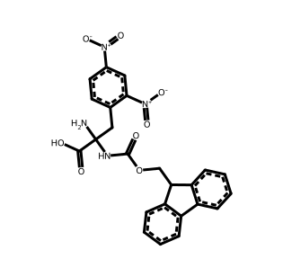 NC(Cc1ccc([N+](=O)[O-])cc1[N+](=O)[O-])(NC(=O)OCC1c2ccccc2-c2ccccc21)C(=O)O